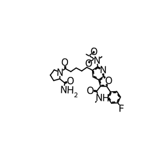 CNC(=O)c1c(-c2ccc(F)cc2)oc2nc(N(C)S(C)(=O)=O)c(CCCCC(=O)N3CCCC3C(N)=O)cc12